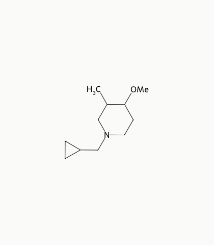 COC1CCN(CC2CC2)CC1C